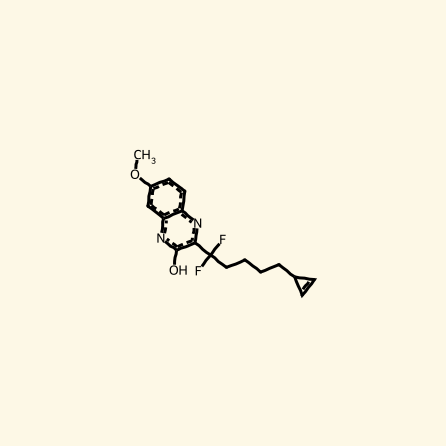 COc1ccc2nc(C(F)(F)CCCCC3C=C3)c(O)nc2c1